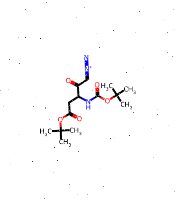 CC(C)(C)OC(=O)CC(NC(=O)OC(C)(C)C)C(=O)C=[N+]=[N-]